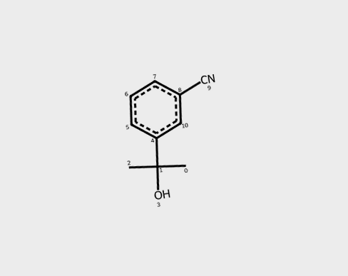 CC(C)(O)c1cccc(C#N)c1